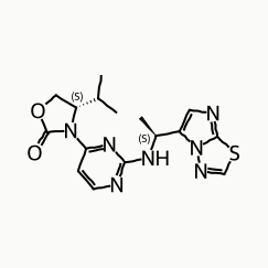 CC(C)[C@H]1COC(=O)N1c1ccnc(N[C@@H](C)c2cnc3scnn23)n1